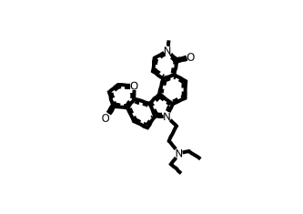 CCN(CC)CCn1c2ccc3c(=O)n(C)ccc3c2c2c3occc(=O)c3ccc21